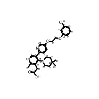 Cc1ncc(-c2ccc(OCCOc3cccc(Cl)c3)cn2)c(N2CCC(C)(C)CC2)c1CC(=O)O